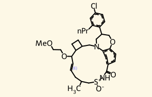 CCCc1cc(Cl)ccc1C1COc2ccc3cc2N(C1)CC1CCC1C(OCCOC)/C=C/CC(C)C[S+]([O-])NC3=O